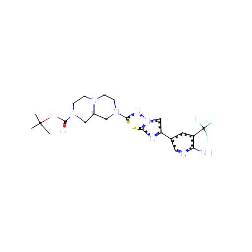 CC(C)(C)OC(=O)N1CCN2CCN(c3nn4cc(-c5cnc(N)c(C(F)(F)F)c5)nc4s3)CC2C1